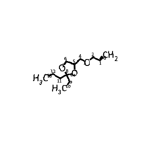 C=CCOCC1COC(CC)(CCC)O1